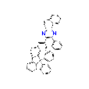 c1ccc(-c2nc3c(ccc4ccccc43)nc2-c2ccc3c4c(ccc3c2)-c2ccccc2C4(c2ccccc2)c2ccccc2)cc1